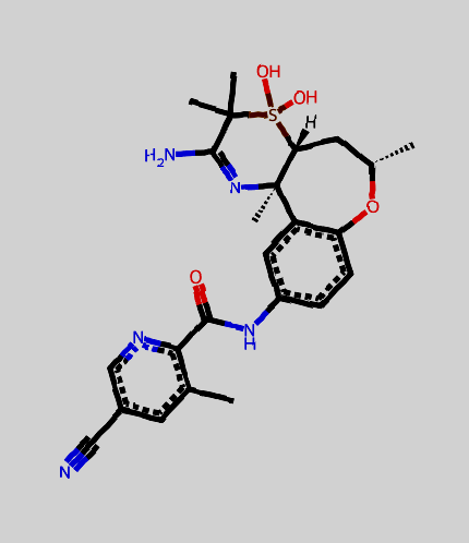 Cc1cc(C#N)cnc1C(=O)Nc1ccc2c(c1)[C@@]1(C)N=C(N)C(C)(C)S(O)(O)[C@@H]1C[C@H](C)O2